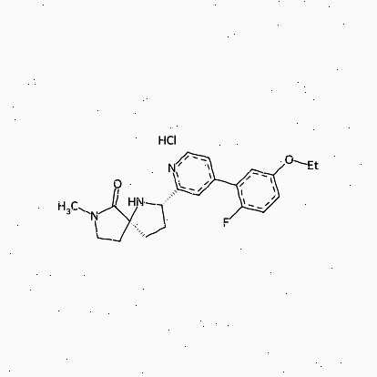 CCOc1ccc(F)c(-c2ccnc([C@@H]3CC[C@@]4(CCN(C)C4=O)N3)c2)c1.Cl